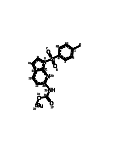 Cc1ccc(S(=O)(=O)n2ccc3ccc(NC(=O)OC(C)(C)C)nc32)cc1